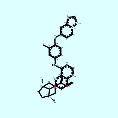 C=CC(=O)N1C[C@H]2CC[C@@H](C1)C2c1ccc2ncnc(Nc3ccc(Oc4ccn5ncnc5c4)c(C)c3)c2n1